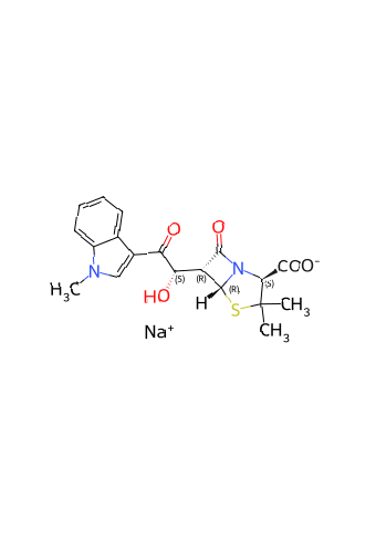 Cn1cc(C(=O)[C@@H](O)[C@@H]2C(=O)N3[C@@H]2SC(C)(C)[C@@H]3C(=O)[O-])c2ccccc21.[Na+]